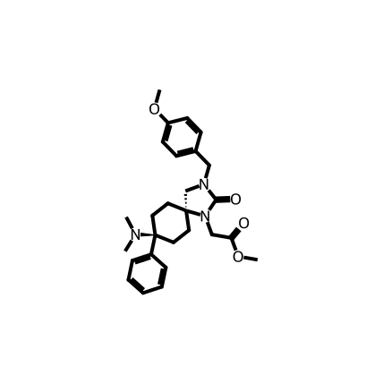 COC(=O)CN1C(=O)N(Cc2ccc(OC)cc2)C[C@]12CC[C@](c1ccccc1)(N(C)C)CC2